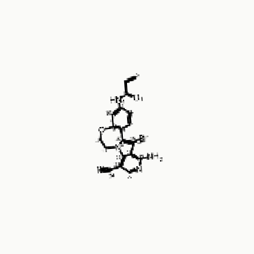 C=CC(=O)Nc1ccc2c(c1)OCCn1c-2c(Br)c2c(N)ncc(C#N)c21